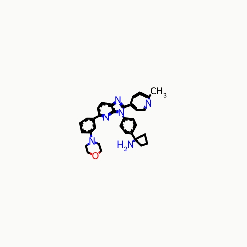 CC1=C=CC(c2nc3ccc(-c4cccc(N5CCOCC5)c4)nc3n2-c2ccc(C3(N)CCC3)cc2)=CC=N1